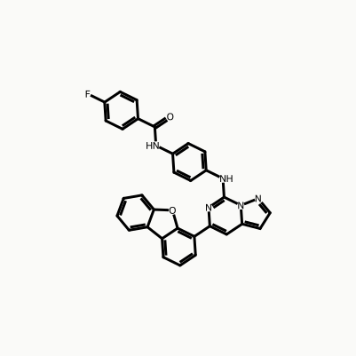 O=C(Nc1ccc(Nc2nc(-c3cccc4c3oc3ccccc34)cc3ccnn23)cc1)c1ccc(F)cc1